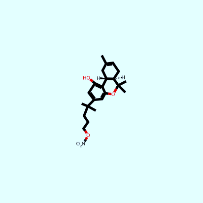 CC1=CC[C@@H]2[C@@H](C1)c1c(O)cc(C(C)(C)CCCO[N+](=O)[O-])cc1OC2(C)C